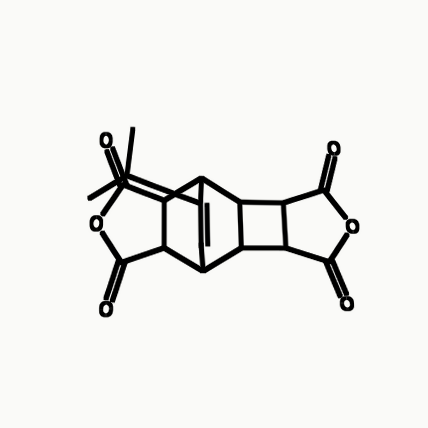 CC(C)C1=CC2C3C(=O)OC(=O)C3C1C1C3C(=O)OC(=O)C3C21